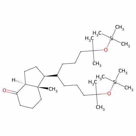 CC(C)(CCCC(CCCC(C)(C)O[Si](C)(C)C)[C@@H]1CC[C@@H]2C(=O)CCC[C@]21C)O[Si](C)(C)C